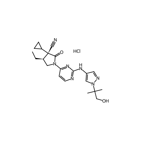 CC[C@@H]1CN(c2ccnc(Nc3cnn(C(C)(C)CO)c3)n2)C(=O)[C@@]1(C#N)C1CC1.Cl